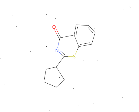 O=c1nc(C2CCCC2)sc2ccccc12